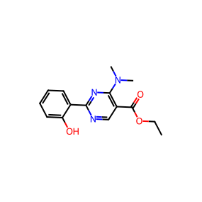 CCOC(=O)c1cnc(-c2ccccc2O)nc1N(C)C